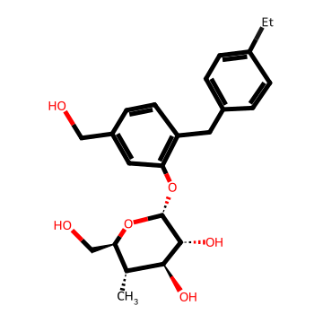 CCc1ccc(Cc2ccc(CO)cc2O[C@H]2O[C@H](CO)[C@@H](C)[C@H](O)[C@H]2O)cc1